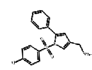 CNCc1cc(-c2ccccc2)n(S(=O)(=O)c2ccc(Cl)cc2)c1